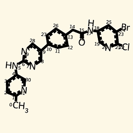 Cc1ccc(Nc2ncc(-c3ccc(CC(=O)Nc4cnc(Cl)c(Br)c4)cc3)cn2)cn1